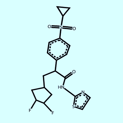 O=C(Nc1nccs1)C(CC1CC(F)C(F)C1)c1ccc(S(=O)(=O)C2CC2)cc1